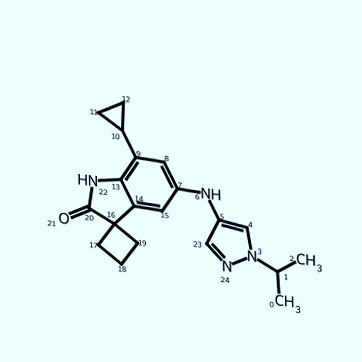 CC(C)n1cc(Nc2cc(C3CC3)c3c(c2)C2(CCC2)C(=O)N3)cn1